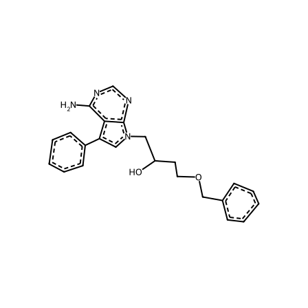 Nc1ncnc2c1c(-c1ccccc1)cn2CC(O)CCOCc1ccccc1